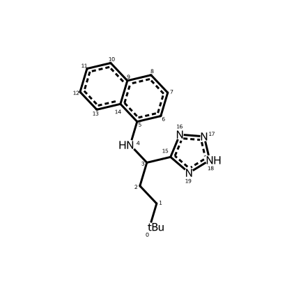 CC(C)(C)CCC(Nc1cccc2ccccc12)c1nn[nH]n1